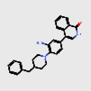 Nc1cc(-c2c[nH]c(=O)c3ccccc23)ccc1N1CCC(Cc2ccccc2)CC1